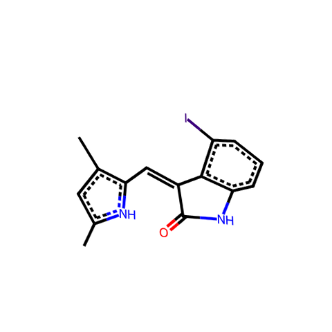 Cc1cc(C)c(C=C2C(=O)Nc3cccc(I)c32)[nH]1